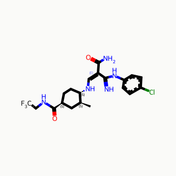 C[C@H]1C[C@@H](C(=O)NCC(F)(F)F)CC[C@@H]1N/C=C(\C(=N)Nc1ccc(Cl)cc1)C(N)=O